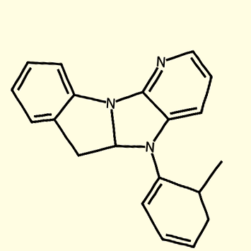 CC1CC=CC=C1N1c2cccnc2N2c3ccccc3CC12